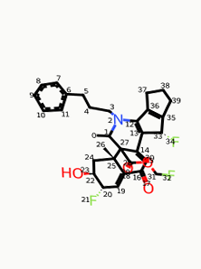 CC1N(CCCc2ccccc2)C2=C(C3=CC(=O)C4=C[C@H](F)[C@@H](O)C[C@]4(C)C31C(=O)OCF)[C@@H](F)C1=C2CCC1